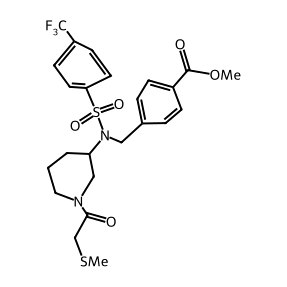 COC(=O)c1ccc(CN(C2CCCN(C(=O)CSC)C2)S(=O)(=O)c2ccc(C(F)(F)F)cc2)cc1